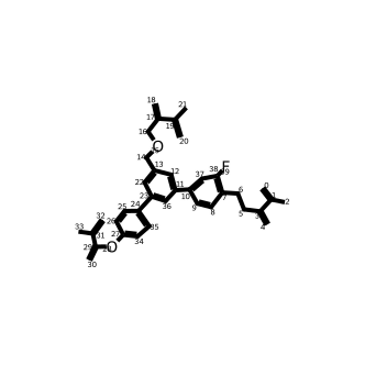 C=C(C)C(=C)CCc1ccc(-c2cc(COCC(=C)C(=C)C)cc(-c3ccc(OC(=C)C(=C)C)cc3)c2)cc1F